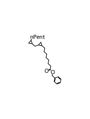 CCCCCC1CC1CC1CC1CCCCCCCC(=O)OCc1ccccc1